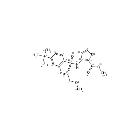 COC/C=C/c1cc(C(C)(C)C)ccc1S(=O)(=O)Nc1ccsc1C(=O)OC